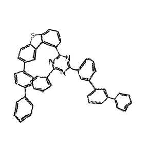 c1ccc(-c2ccc(-c3ccc4sc5cccc(-c6nc(-c7ccccc7)nc(-c7cccc(-c8cccc(-c9ccccc9)c8)c7)n6)c5c4c3)cc2)cc1